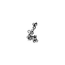 COc1cc2ncn(-c3cc(O[C@H](C)c4cccc(OCC5CCN(C(=O)OC(C)(C)C)CC5)c4Cl)c(C(N)=O)s3)c2cc1OC